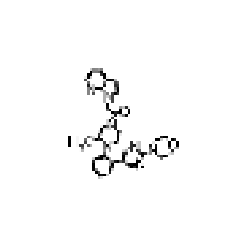 CC1CN(C(=O)Cn2ccc3cccnc32)CCN1c1ccccc1-c1cnc(N2CCOCC2)nc1